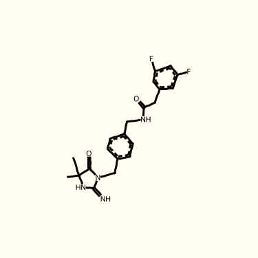 CC1(C)NC(=N)N(Cc2ccc(CNC(=O)Cc3cc(F)cc(F)c3)cc2)C1=O